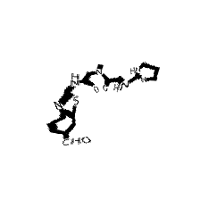 CN(CC(=O)Nc1nc2ccc(C=O)cc2s1)C(=O)CNC1=NCCCN1